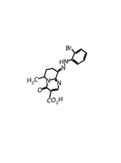 CC1CCC(=NNc2ccccc2Br)c2ncc(C(=O)O)c(=O)n21